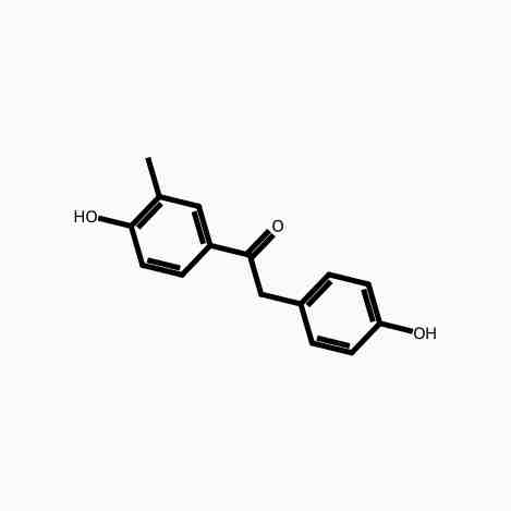 Cc1cc(C(=O)Cc2ccc(O)cc2)ccc1O